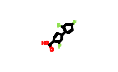 O=C(O)c1ccc(-c2ccc(F)cc2F)cc1F